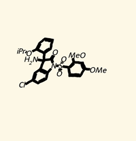 COc1ccc(S(=O)(=O)N2C(=O)C(N)(c3ccccc3OC(C)C)c3cc(Cl)ccc32)c(OC)c1